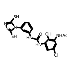 CC(=O)Nc1cc(Cl)cc(NC(=O)Nc2cccc(-n3c(S)nnc3S)c2)c1O